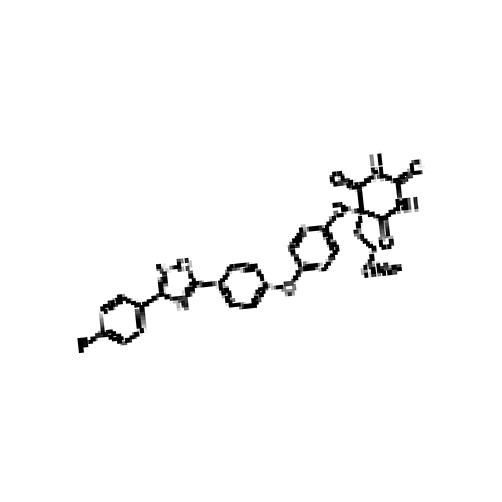 COCCC1(Oc2ccc(Oc3ccc(-c4nc(-c5ccc(F)cc5)no4)cc3)cc2)C(=O)NC(=O)NC1=O